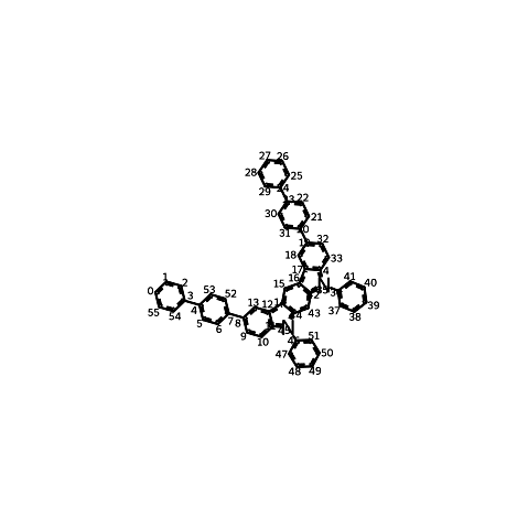 c1ccc(-c2ccc(-c3ccc4c(c3)c3cc5c6cc(-c7ccc(-c8ccccc8)cc7)ccc6n(-c6ccccc6)c5cc3n4-c3ccccc3)cc2)cc1